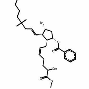 CCCCC(C)(C)C/C=C/[C@@H]1[C@@H](C/C=C\CCC(O)C(=O)OC)[C@@H](OC(=O)c2ccccc2)C[C@H]1Br